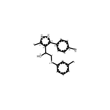 Cc1cccc(SCC(O)c2c(C)noc2-c2ccc(Br)cc2)c1